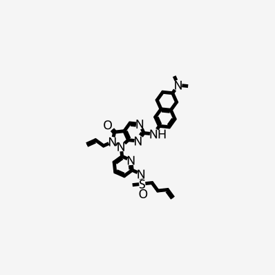 C=CCCS(C)(=O)=Nc1cccc(-n2c3nc(Nc4ccc5c(c4)CCC(N(C)C)C5)ncc3c(=O)n2CC=C)n1